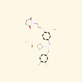 COc1cc(CN(Cc2ccc(Cl)c(F)c2)[C@H]2C[C@@H](C(=O)O)C2)ccc1OCCN1C(=O)CCC1=O